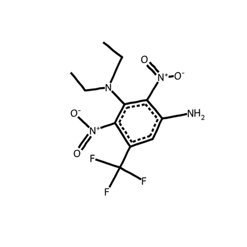 CCN(CC)c1c([N+](=O)[O-])c(N)cc(C(F)(F)F)c1[N+](=O)[O-]